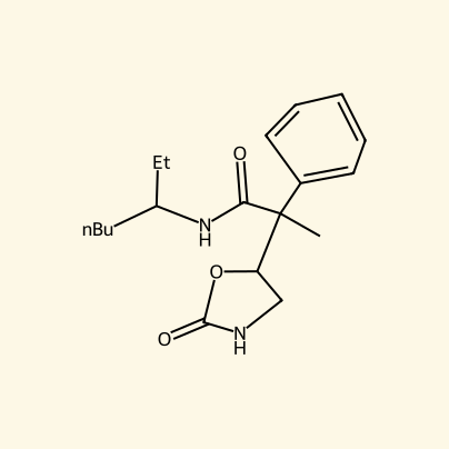 CCCCC(CC)NC(=O)C(C)(c1ccccc1)C1CNC(=O)O1